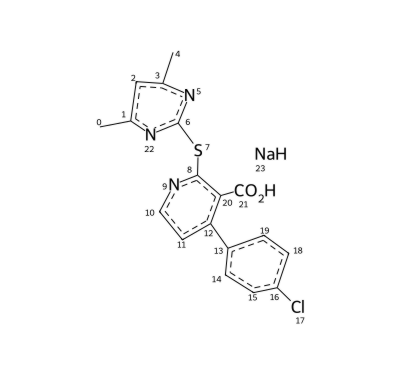 Cc1cc(C)nc(Sc2nccc(-c3ccc(Cl)cc3)c2C(=O)O)n1.[NaH]